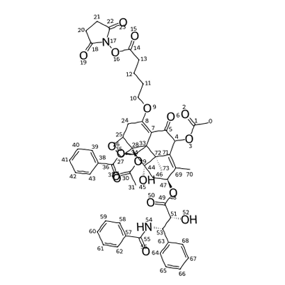 CC(=O)OC1C(=O)C2=C(OCCCCC(=O)ON3C(=O)CCC3=O)CC3OC[C@@]3(OC(C)=O)C23[C@H](OC(=O)c2ccccc2)[C@]2(O)C[C@H](OC(=O)[C@H](O)[C@@H](NC(=O)c4ccccc4)c4ccccc4)C(C)=C1[C@]32C